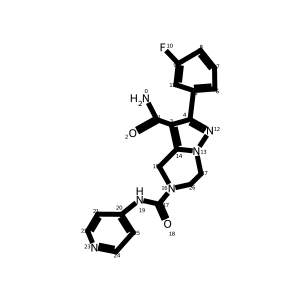 NC(=O)c1c(-c2cccc(F)c2)nn2c1CN(C(=O)Nc1ccncc1)CC2